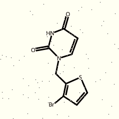 O=c1ccn(Cc2sccc2Br)c(=O)[nH]1